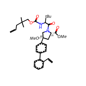 C=CCC(C)(C)COC(=O)NC(C(=O)N1C[C@](OC)(c2ccc(-c3ccccc3C=C)cc2)C[C@H]1C(=O)OC)C(C)(C)C